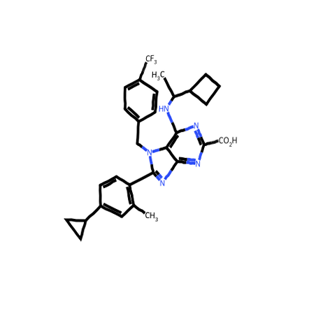 Cc1cc(C2CC2)ccc1-c1nc2nc(C(=O)O)nc(NC(C)C3CCC3)c2n1Cc1ccc(C(F)(F)F)cc1